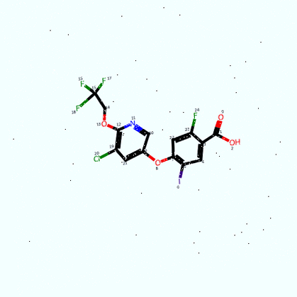 O=C(O)c1cc(I)c(Oc2cnc(OCC(F)(F)F)c(Cl)c2)cc1F